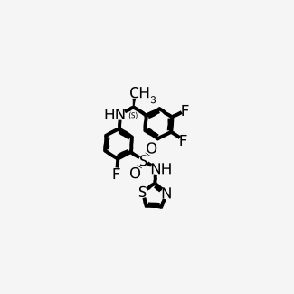 C[C@H](Nc1ccc(F)c(S(=O)(=O)Nc2nccs2)c1)c1ccc(F)c(F)c1